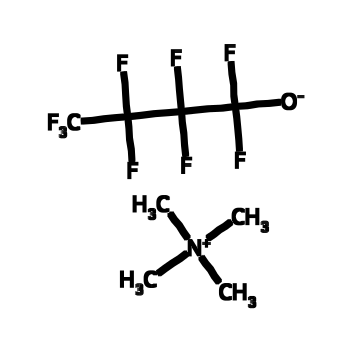 C[N+](C)(C)C.[O-]C(F)(F)C(F)(F)C(F)(F)C(F)(F)F